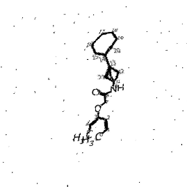 C/C=C\C(=C/C)OCC(=O)NC12CC(C3CCCCCC3)(C1)C2